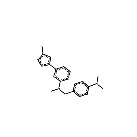 CN(C)c1ccc(CN(C)c2nccc(-c3cnn(C)c3)n2)cc1